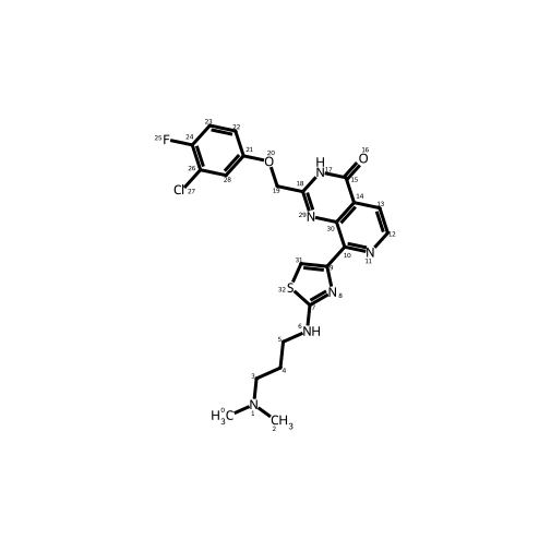 CN(C)CCCNc1nc(-c2nccc3c(=O)[nH]c(COc4ccc(F)c(Cl)c4)nc23)cs1